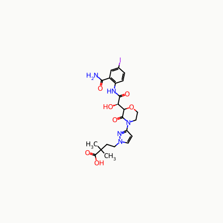 CC(C)(CCn1ccc(N2CCOC([C@@H](O)C(=O)Nc3ccc(I)cc3C(N)=O)C2=O)n1)C(=O)O